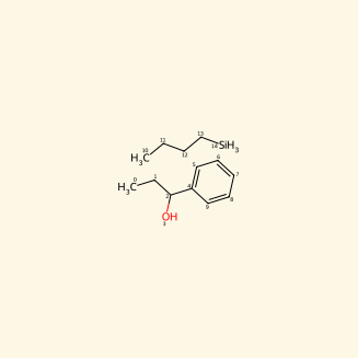 CCC(O)c1ccccc1.CCCC[SiH3]